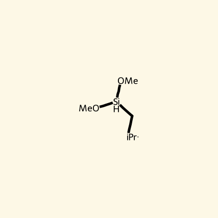 CO[SiH](C[C](C)C)OC